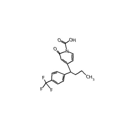 CCCC(c1ccc(C(F)(F)F)cc1)c1ccn(C(=O)O)c(=O)c1